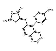 COc1ccc(-c2c(C=C3CC(=O)OC3=O)ccc3ccccc23)cc1